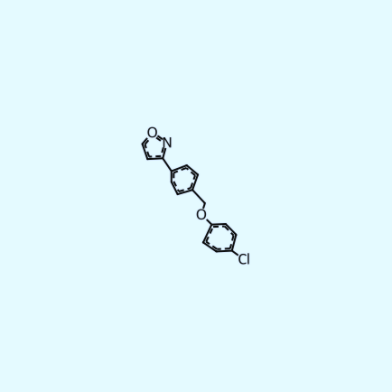 Clc1ccc(OCc2ccc(-c3ccon3)cc2)cc1